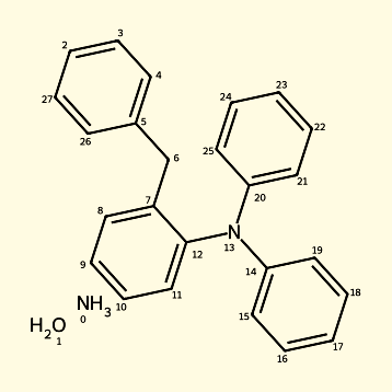 N.O.c1ccc(Cc2ccccc2N(c2ccccc2)c2ccccc2)cc1